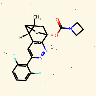 CC12C[C@]3(OC(=O)N4CCC4)CC1[C@H]2c1cc(-c2c(F)cccc2F)nnc13